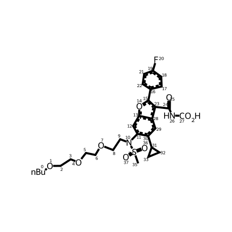 CCCCOCCOCCOCCN(c1cc2oc(-c3ccc(F)cc3)c(C(=O)NC(=O)O)c2cc1C1CC1)S(C)(=O)=O